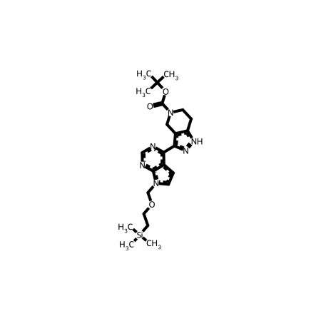 CC(C)(C)OC(=O)N1CCc2[nH]nc(-c3ncnc4c3ccn4COCC[Si](C)(C)C)c2C1